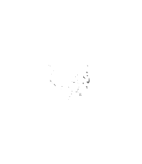 COCCN(C)CCOc1ccc(N(C)N(C)C2(C(=O)OC)CCC2)c(F)c1F